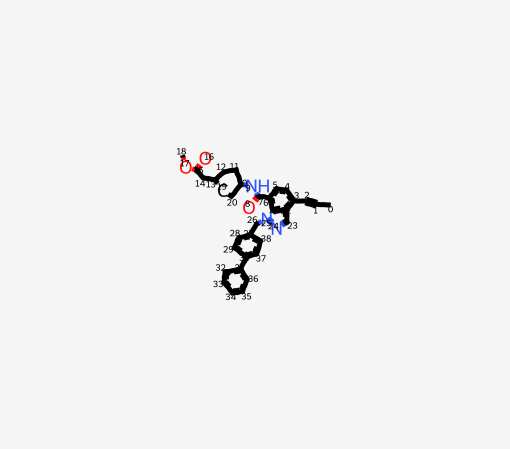 CC#Cc1ccc(C(=O)NC2CCC(CC(=O)OC)CC2)c2c1cnn2Cc1ccc(-c2ccccc2)cc1